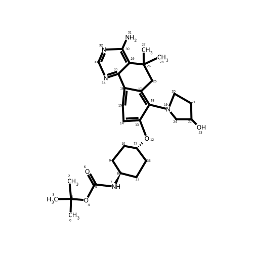 CC(C)(C)OC(=O)N[C@H]1CC[C@H](Oc2ccc3c(c2N2CCC(O)C2)CC(C)(C)c2c(N)ncnc2-3)CC1